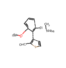 CCCCOc1cccc(CC)c1-c1ccsc1C=O.CNC